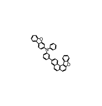 c1ccc(N(c2cccc(-c3ccc4c(ccc5ccc6oc7ccccc7c6c54)c3)c2)c2ccc3c(c2)oc2ccccc23)cc1